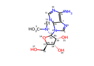 CCN(C(=O)O)[C@@]1(n2cnc3c(N)ncnc32)O[C@H](CO)[C@@H](O)[C@H]1O